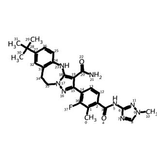 Cc1c(C(=O)Nc2ncn(C)n2)ccc(-c2nn3c(c2C(N)=O)Nc2ccc(C(C)(C)C)cc2CC3)c1F